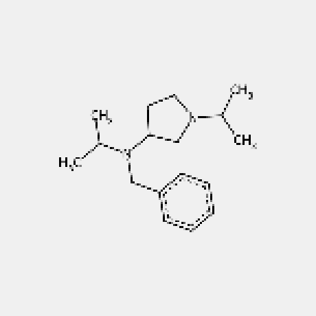 CC(C)N1CCC(N(Cc2ccccc2)C(C)C)C1